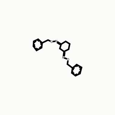 c1ccc(CO/N=C2/CCC/C(=N\OCc3ccccc3)C2)cc1